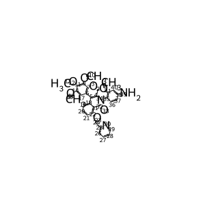 COC(=O)c1c(-c2cc(OC)c(OC)c(OC)c2)c2cccc(OCc3ccccn3)c2c(=O)n1-c1ccc(N)cc1